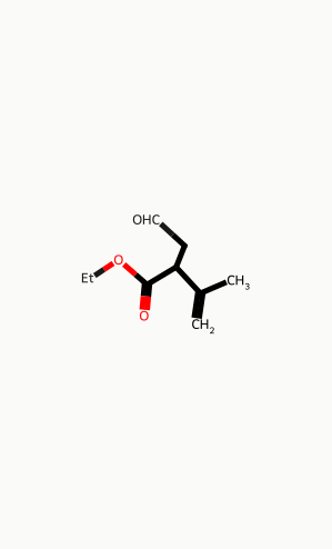 C=C(C)C(CC=O)C(=O)OCC